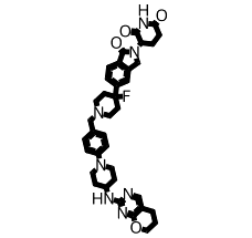 O=C1CCC(N2Cc3cc(C4(F)CCN(Cc5ccc(N6CCC(Nc7ncc8c(n7)OCCC8)CC6)cc5)CC4)ccc3C2=O)C(=O)N1